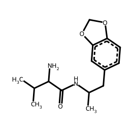 CC(Cc1ccc2c(c1)OCO2)NC(=O)C(N)C(C)C